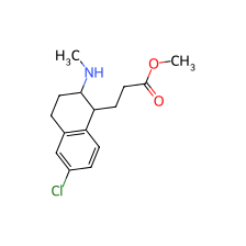 CNC1CCc2cc(Cl)ccc2C1CCC(=O)OC